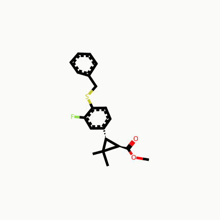 COC(=O)[C@@H]1[C@@H](c2ccc(SCc3ccccc3)c(F)c2)C1(C)C